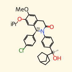 COc1cc2c(cc1OC(C)C)[C@H](c1ccc(Cl)cc1)N(c1ccc([C@@](C)(O)C34CCC(CC3)C4)cc1)C(=O)C2